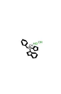 Cl.Cl.[CH3][Zr](=[CH]c1ccccc1)([C]1=CC=CC1)[CH]1C=Cc2ccccc21